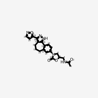 CC(=O)NCC1CN(c2ccc3c(c2)CCCc2c(-c4ccno4)n[nH]c2-3)C(=O)O1